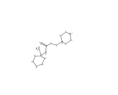 O=C(CCN1CCOCC1)OC1(C(F)(F)F)CCCCC1